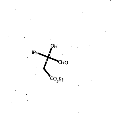 CCOC(=O)CC(O)(C=O)C(C)C